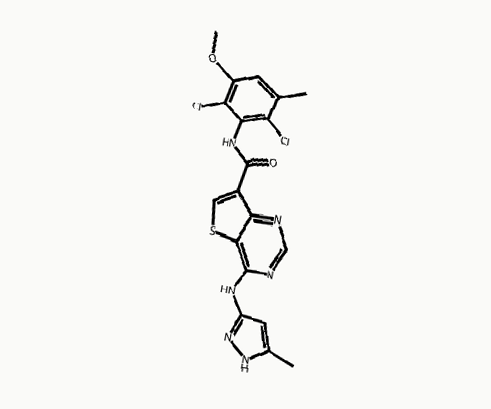 COc1cc(C)c(Cl)c(NC(=O)c2csc3c(Nc4cc(C)[nH]n4)ncnc23)c1Cl